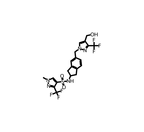 Cn1cc(S(=O)(=O)NC2Cc3ccc(Cn4cc(CO)c(C(F)(F)F)n4)cc3C2)c(C(F)(F)F)n1